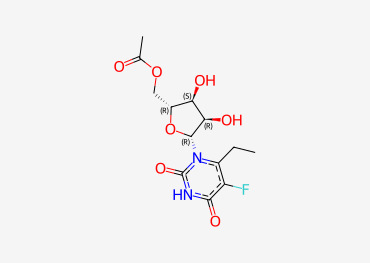 CCc1c(F)c(=O)[nH]c(=O)n1[C@@H]1O[C@H](COC(C)=O)[C@@H](O)[C@H]1O